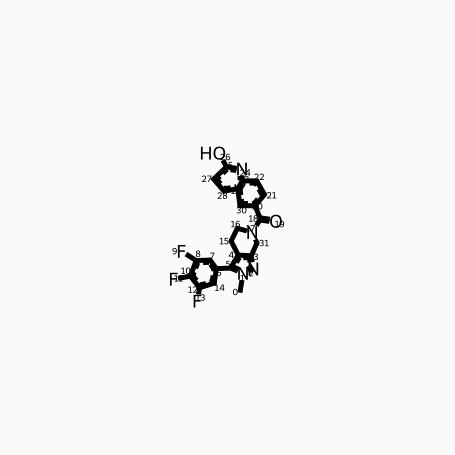 Cn1nc2c(c1-c1cc(F)c(F)c(F)c1)CCN(C(=O)c1ccc3nc(O)ccc3c1)C2